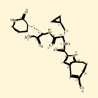 NC(=O)[C@H](C[C@@H]1CCCNC1=O)NC(=O)[C@H](CC1CC1)NC(=O)c1cc2cc(Cl)ccc2[nH]1